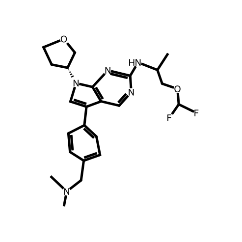 CC(COC(F)F)Nc1ncc2c(-c3ccc(CN(C)C)cc3)cn([C@@H]3CCOC3)c2n1